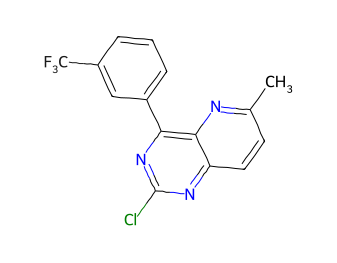 Cc1ccc2nc(Cl)nc(-c3cccc(C(F)(F)F)c3)c2n1